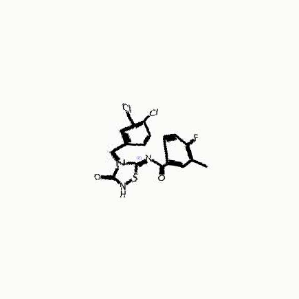 Cc1cc(C(=O)/N=c2\s[nH]c(=O)n2Cc2ccc(Cl)c(Cl)c2)ccc1F